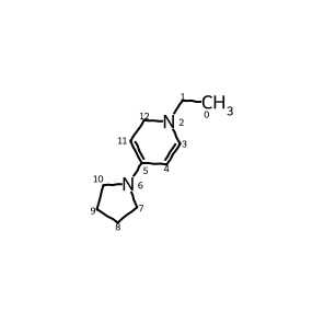 CCN1C=CC(N2CCCC2)=CC1